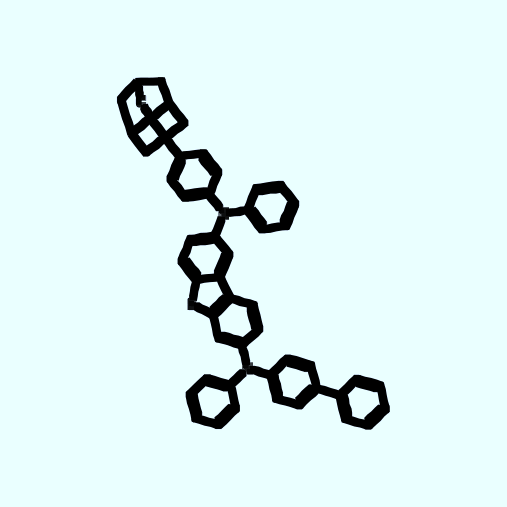 c1ccc(-c2ccc(N(c3ccccc3)c3ccc4c(c3)sc3ccc(N(c5ccccc5)c5ccc(C67CC8CC9CC(C6)C87C9)cc5)cc34)cc2)cc1